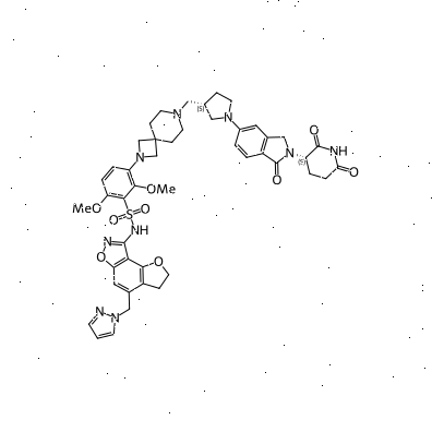 COc1ccc(N2CC3(CCN(C[C@@H]4CCN(c5ccc6c(c5)CN([C@H]5CCC(=O)NC5=O)C6=O)C4)CC3)C2)c(OC)c1S(=O)(=O)Nc1noc2cc(Cn3cccn3)c3c(c12)OCC3